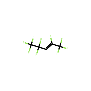 FC(=CC(F)(F)C(F)(F)F)C(F)(F)F